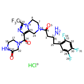 Cl.N[C@@H](CC(=O)N1CCn2c(C(F)(F)F)nc(C(=O)N3CCNC(=O)C3)c2C1)Cc1cc(F)c(F)cc1F